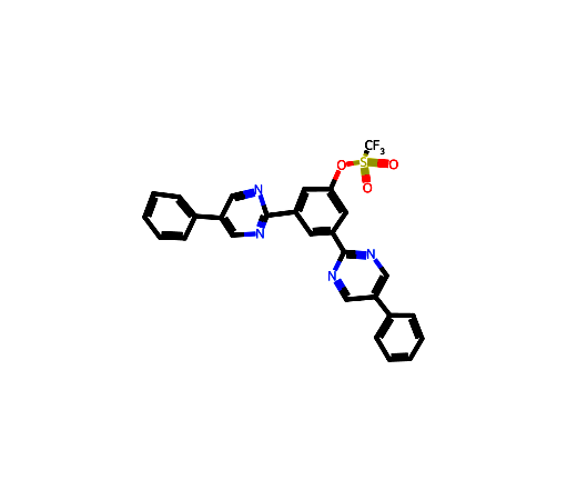 O=S(=O)(Oc1cc(-c2ncc(-c3ccccc3)cn2)cc(-c2ncc(-c3ccccc3)cn2)c1)C(F)(F)F